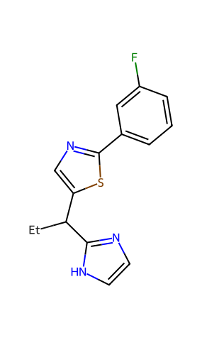 CCC(c1ncc[nH]1)c1cnc(-c2cccc(F)c2)s1